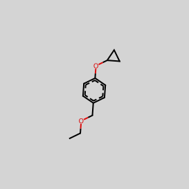 CCOCc1ccc(OC2CC2)cc1